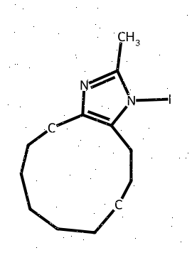 Cc1nc2c(n1I)CCCCCCCCC2